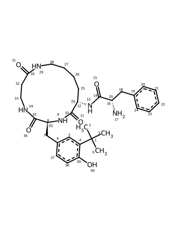 CC(C)(C)c1cc(C[C@@H]2NC(=O)[C@@H](NC(=O)[C@@H](N)Cc3ccccc3)CCCCNC(=O)CCNC2=O)ccc1O